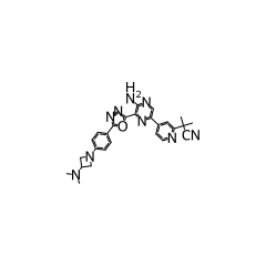 CN(C)C1CN(c2ccc(-c3nnc(-c4nc(-c5ccnc(C(C)(C)C#N)c5)cnc4N)o3)cc2)C1